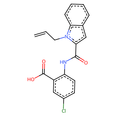 C=CCn1c(C(=O)Nc2ccc(Cl)cc2C(=O)O)cc2ccccc21